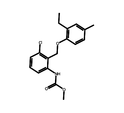 CCc1cc(C)ccc1OCc1c(Cl)cccc1NC(=O)OC